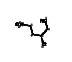 CC[C@@H](CO)CC[N+](=O)[O-]